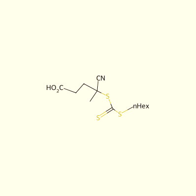 CCCCCCSC(=S)SC(C)(C#N)CCC(=O)O